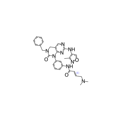 Cc1nocc1Nc1ncc2c(n1)N(c1cccc(NC(=O)/C=C/CN(C)C)c1)C(=O)N(Cc1ccccc1)C2